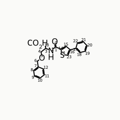 O=C(NC(COCc1ccccc1)C(=O)O)c1cc(-c2ccccc2)cs1